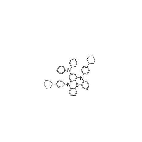 c1ccc(N(c2ccccc2)c2cc3c4c(c2)N(c2ccc(C5CCCCC5)cc2)c2ccccc2B4c2ccccc2N3c2ccc(C3CCCCC3)cc2)cc1